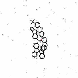 CC(C)(C)c1ccc2c(c1)C1(c3cc(C(C)(C)C)ccc3S2)c2ccccc2-c2ccc(N(c3ccc4c(c3)C3(c5ccccc5-c5ccccc53)c3ccccc3-4)c3cccc4sc5ccccc5c34)cc21